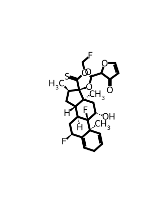 C[C@@H]1C[C@H]2[C@@H]3C[C@H](F)C4=CCC=C[C@]4(C)[C@@]3(F)[C@@H](O)C[C@]2(C)[C@@]1(OC(=O)C1OC=CC1=O)C(=S)OCF